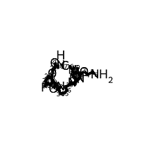 Cc1c(OCCN)nc2cc3nn2c1N(C)CCNC(=O)COc1ccc(F)cc1C(=O)N1CCCCC31